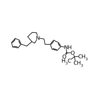 CC(C)(C)OC(=O)Nc1ccc(CCN2CCCC(Cc3ccccc3)C2)cc1